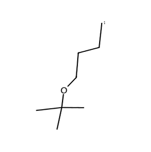 [CH]CCCOC(C)(C)C